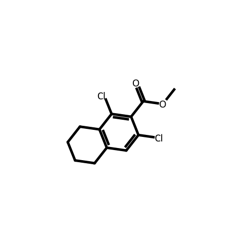 COC(=O)c1c(Cl)cc2c(c1Cl)CCCC2